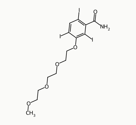 COCCOCCOCCOc1c(I)cc(I)c(C(N)=O)c1I